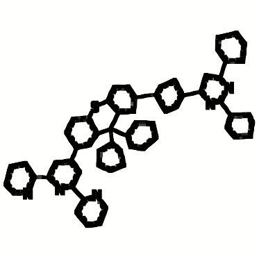 c1ccc(-c2cc(-c3ccc(-c4ccc5c(c4)C(c4ccccc4)(c4ccccc4)c4cc(-c6cc(-c7ccccn7)nc(-c7ccccn7)c6)ccc4S5)cc3)nc(-c3ccccc3)n2)cc1